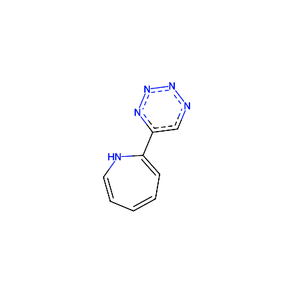 C1=CC=C(c2cnnnn2)NC=C1